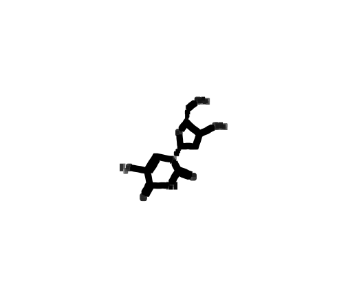 CC(=O)OC[C@H]1O[C@@H](n2cc(C(F)(F)F)c(=O)[nH]c2=O)CC1OC(C)=O